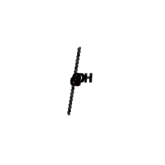 CCCCCCCCCCCCCCCCCCOCCCCCCCCCCCCCCCCCC.O=C(O)c1ccccc1